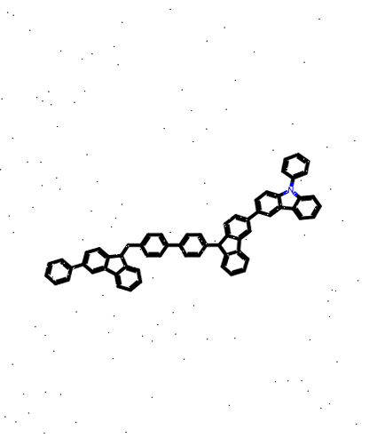 c1ccc(-c2ccc3c(c2)-c2ccccc2C3Cc2ccc(-c3ccc(C4c5ccccc5-c5cc(-c6ccc7c(c6)c6ccccc6n7-c6ccccc6)ccc54)cc3)cc2)cc1